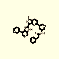 O=C(Cc1ccccc1)Nc1cncc(-c2ccc3[nH]nc(-c4nc5c(-c6cccnc6)cncc5[nH]4)c3n2)c1